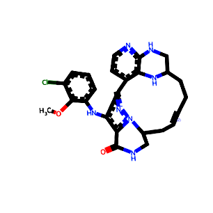 COc1c(Cl)cccc1Nc1c2nn3c1C(=O)NCC3C/C=C\CCC1CNc3nccc-2c3N1